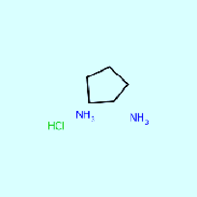 C1CCCC1.Cl.N.N